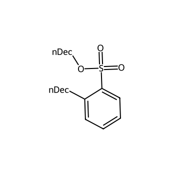 CCCCCCCCCCOS(=O)(=O)c1ccccc1CCCCCCCCCC